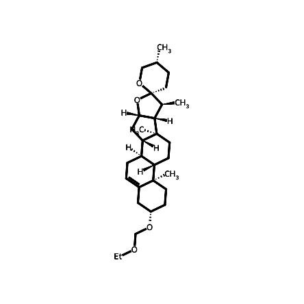 CCOCO[C@H]1CC[C@@]2(C)C(=CC[C@H]3[C@@H]4C[C@@H]5O[C@]6(CC[C@@H](C)CO6)[C@@H](C)[C@@H]5[C@@]4(C)CC[C@@H]32)C1